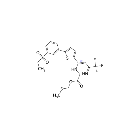 CCS(=O)(=O)c1cccc(-c2ccc(/C(=C/C(=N)C(F)(F)F)NCC(=O)OCSC)s2)c1